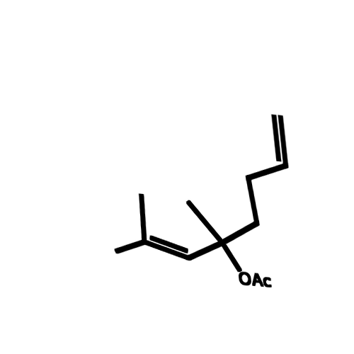 C=CCCC(C)(C=C(C)C)OC(C)=O